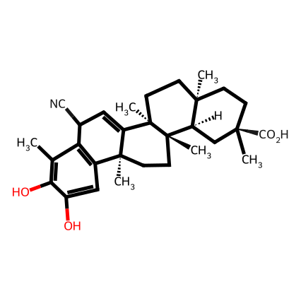 Cc1c(O)c(O)cc2c1C(C#N)C=C1[C@@]2(C)CC[C@@]2(C)[C@@H]3C[C@](C)(C(=O)O)CC[C@]3(C)CC[C@]12C